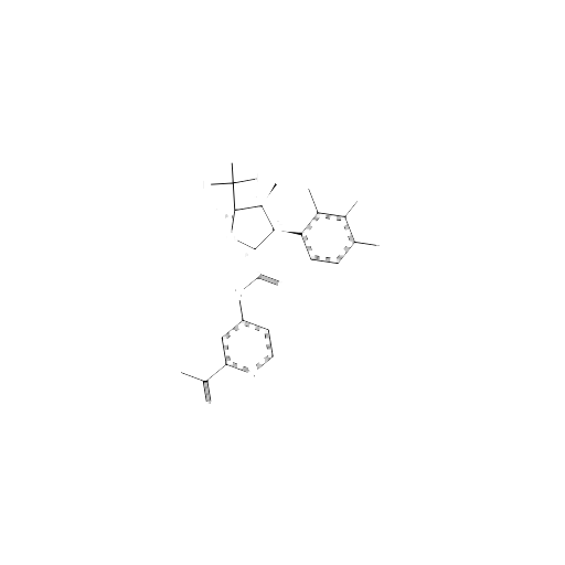 CC(=O)c1cc(NC(=O)[C@@H]2O[C@@](C)(C(F)(F)F)[C@@H](C)[C@H]2c2ccc(F)c(F)c2C)ccn1